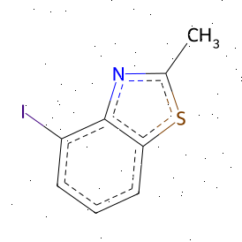 Cc1nc2c(I)cccc2s1